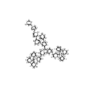 c1ccc(-c2nnc(-c3ccc(-c4ccccc4-c4ccccc4-c4ccc(-n5c6ccc(-c7ccc8c(c7)C(c7ccccc7)(c7ccccc7)c7ccccc7-8)cc6c6cc(-c7ccc8c(c7)C7(c9ccccc9-c9ccccc97)c7ccccc7-8)ccc65)cc4)cc3)o2)cc1